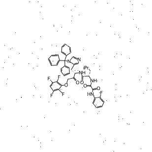 CC(C)C[C@H](NC(=O)C(=O)Nc1ccccc1F)C(=O)N[C@@H](Cc1cncn1C(c1ccccc1)(c1ccccc1)c1ccccc1)C(=O)COc1c(F)c(F)cc(F)c1F